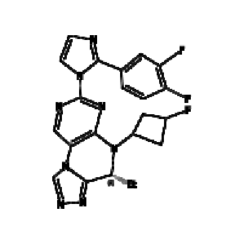 CC[C@@H]1c2nncn2-c2cnc(-n3ccnc3-c3ccc(F)c(F)c3)nc2N1C1CC(F)C1